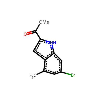 COC(=O)c1cc2c(C(F)(F)F)cc(Br)cc2[nH]1